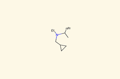 CCCC(C)N(CC)CC1CC1